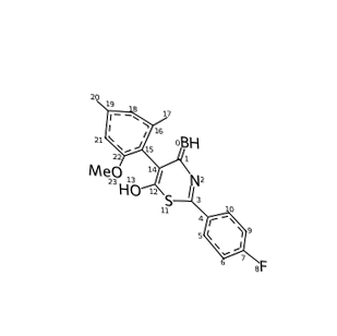 B=C1N=C(c2ccc(F)cc2)SC(O)=C1c1c(C)cc(C)cc1OC